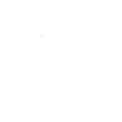 COc1cc2ccn(CC(C)N(C)C)c2cc1OC